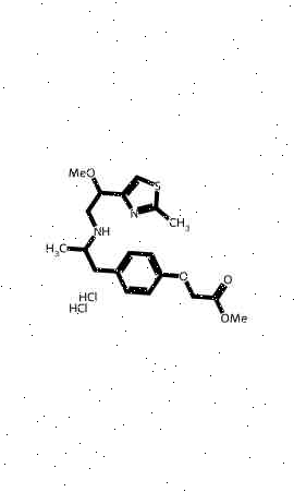 COC(=O)COc1ccc(CC(C)NCC(OC)c2csc(C)n2)cc1.Cl.Cl